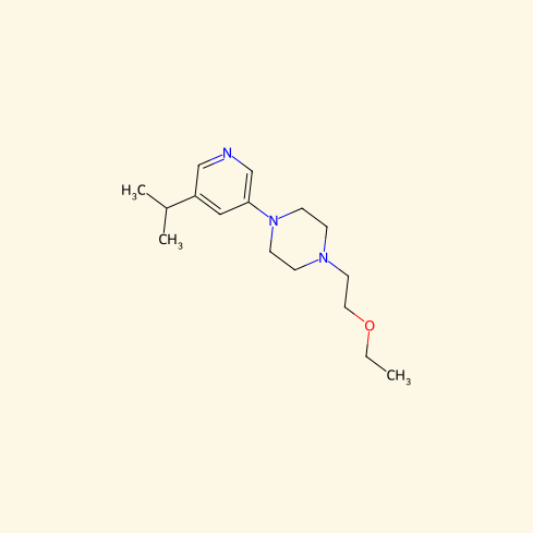 CCOCCN1CCN(c2cncc(C(C)C)c2)CC1